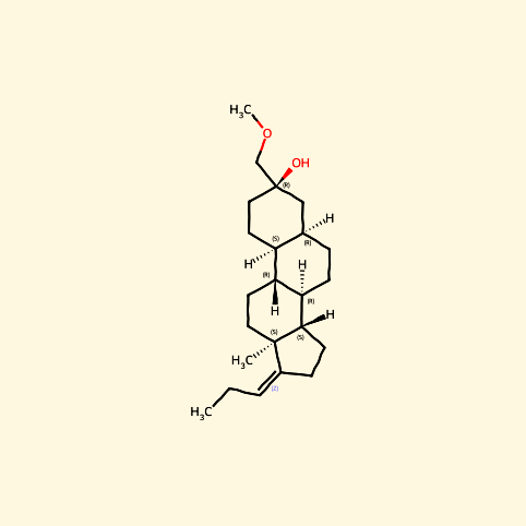 CC/C=C1/CC[C@H]2[C@@H]3CC[C@@H]4C[C@@](O)(COC)CC[C@@H]4[C@H]3CC[C@]12C